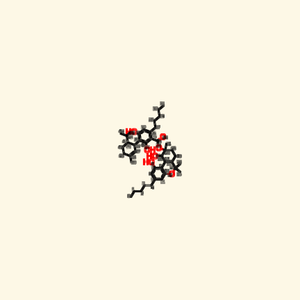 CCCCCc1cc(O)c2c(c1)OC(C)(C)C1=C2C(O)C(C)(OC(=O)c2c(CCCCC)cc(O)c(C3C=C(C)CC[C@H]3C(C)C)c2O)CC1